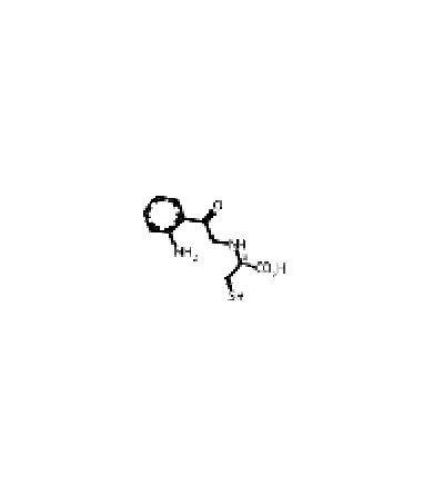 Nc1ccccc1C(=O)CN[C@H](CS)C(=O)O